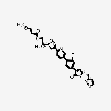 COCCC(=O)OC[C@@H](O)[C@@H]1CC(c2ccc(-c3ccc(N4C[C@H](Cn5ccnn5)OC4=O)cc3F)cn2)=NO1